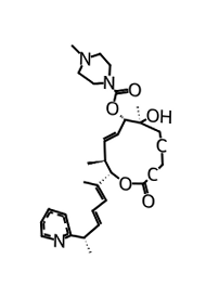 C/C(=C\C=C\[C@H](C)c1ccccn1)[C@H]1OC(=O)CCCC[C@](C)(O)[C@@H](OC(=O)N2CCN(C)CC2)/C=C/[C@@H]1C